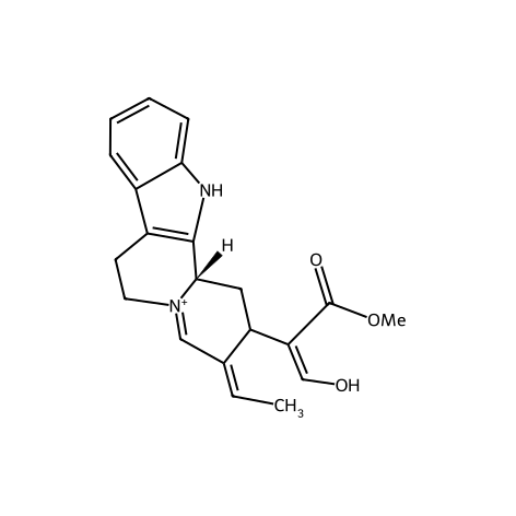 C/C=C1/C=[N+]2CCc3c([nH]c4ccccc34)[C@@H]2CC1/C(=C/O)C(=O)OC